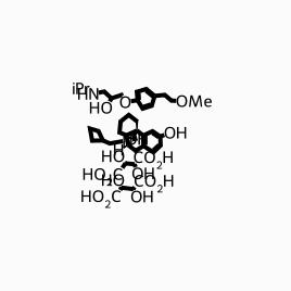 COCCc1ccc(OCC(O)CNC(C)C)cc1.O=C(O)C(O)C(O)C(=O)O.O=C(O)C(O)C(O)C(=O)O.Oc1ccc2c(c1)[C@@]13CCCC[C@@]1(O)[C@@H](C2)N(CC1CCC1)CC3